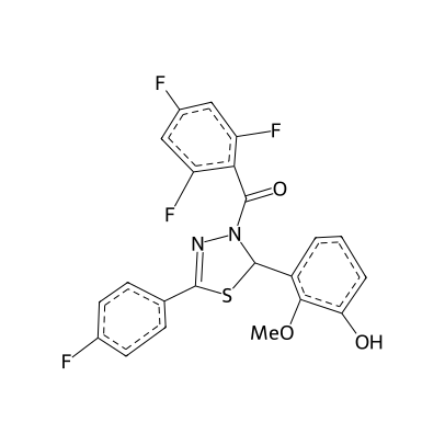 COc1c(O)cccc1C1SC(c2ccc(F)cc2)=NN1C(=O)c1c(F)cc(F)cc1F